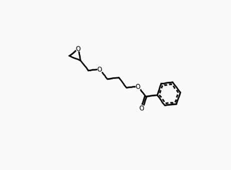 O=C(OCCCOCC1CO1)c1ccccc1